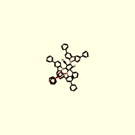 N#Cc1c(-n2c3ccc(-c4ccccc4)cc3c3cc(-c4ccccc4)ccc32)c(F)c(-c2ccccc2)c(-n2c3ccc(-c4ccccc4)cc3c3cc(-c4ccccc4)ccc32)c1-n1c2ccc(-c3ccccc3)cc2c2cc(-c3ccccc3)ccc21